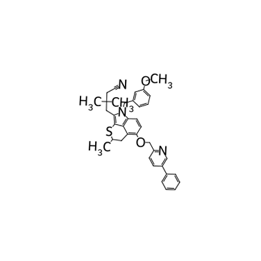 COc1cccc(Cn2c(CC(C)(C)CC#N)c3c4c(c(OCc5ccc(-c6ccccc6)cn5)ccc42)CC(C)S3)c1